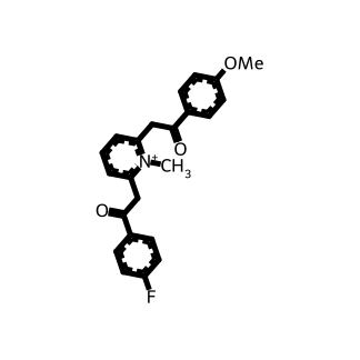 COc1ccc(C(=O)Cc2cccc(CC(=O)c3ccc(F)cc3)[n+]2C)cc1